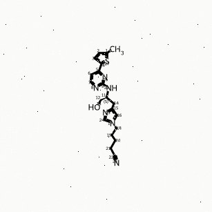 Cc1ccc(-c2ccnc(N[C@H](CO)Cc3cn(CCCCC#N)cn3)n2)s1